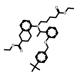 CCOC(=O)CCCCN(c1cccc2c1CCC(C(=O)OCC)C2)C(C)c1ccccc1OCc1ccc(C(C)(C)C)cc1